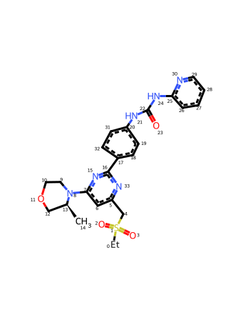 CCS(=O)(=O)Cc1cc(N2CCOC[C@@H]2C)nc(-c2ccc(NC(=O)Nc3ccccn3)cc2)n1